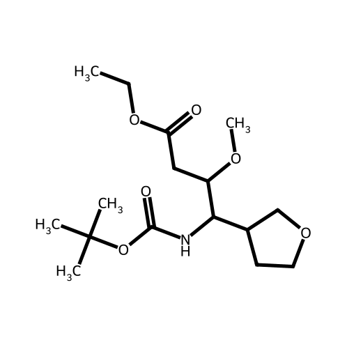 CCOC(=O)CC(OC)C(NC(=O)OC(C)(C)C)C1CCOC1